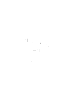 C=CC(NC(C=C)C(=O)O)C(=O)O.C=CCc1ccccn1